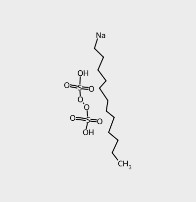 CCCCCCCCCCC[CH2][Na].O=S(=O)(O)OOS(=O)(=O)O